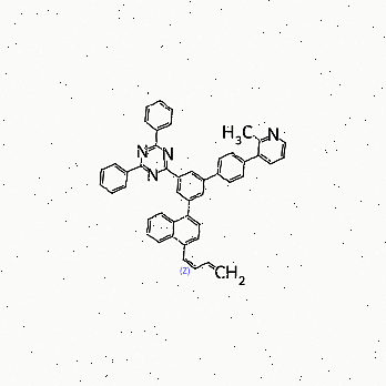 C=C/C=C\c1ccc(-c2cc(-c3ccc(-c4cccnc4C)cc3)cc(-c3nc(-c4ccccc4)nc(-c4ccccc4)n3)c2)c2ccccc12